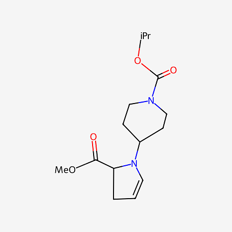 COC(=O)C1CC=CN1C1CCN(C(=O)OC(C)C)CC1